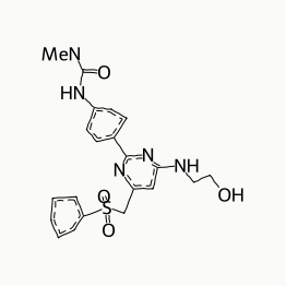 CNC(=O)Nc1ccc(-c2nc(CS(=O)(=O)c3ccccc3)cc(NCCO)n2)cc1